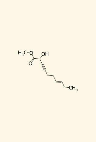 CCC=CCCC#CC(O)C(=O)OC